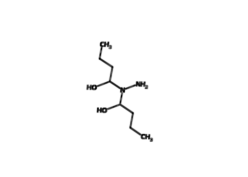 CCCC(O)N(N)C(O)CCC